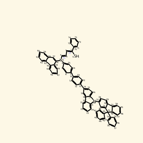 S/C(=C\C=C\N(c1ccc(-c2ccc(-c3ccc4c(c3)c3ccccc3n4-c3ccc4c(c3)C(c3ccccc3)(c3ccccc3)c3ccccc3-4)cc2)cc1)c1cc2ccccc2c2ccccc12)c1ccccc1